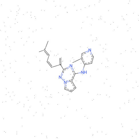 C=C(/C=C\C=C(C)C)c1nc(Nc2ccncc2C)c2cccn2n1